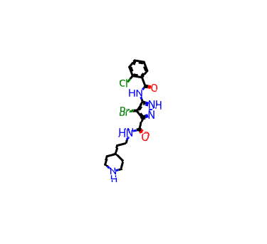 O=C(Nc1[nH]nc(C(=O)NCCC2CCNCC2)c1Br)c1ccccc1Cl